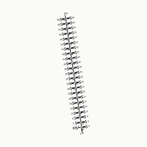 S=S(=S)(S)S(=S)(=S)S(=S)(=S)S(=S)(=S)S(=S)(=S)S(=S)(=S)S(=S)(=S)S(=S)(=S)S(=S)(=S)S(=S)(=S)S(=S)(=S)S(=S)(=S)S(=S)(=S)S(=S)(=S)S(=S)(=S)S(=S)(=S)S(=S)(=S)S(=S)(=S)S(=S)(=S)S(=S)(=S)S(=S)(=S)S(=S)(=S)S(=S)(=S)I